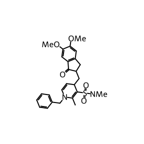 CNS(=O)(=O)C1=C(C)N(Cc2ccccc2)C=CC1CC1Cc2cc(OC)c(OC)cc2C1=O